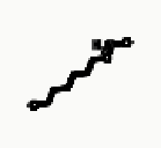 [O]CCCCCCO[SiH2][O]